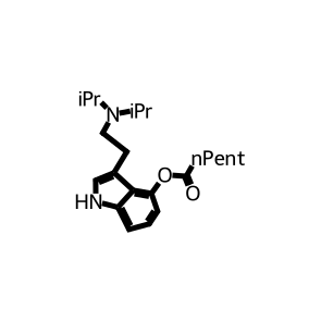 CCCCCC(=O)Oc1cccc2[nH]cc(CCN(C(C)C)C(C)C)c12